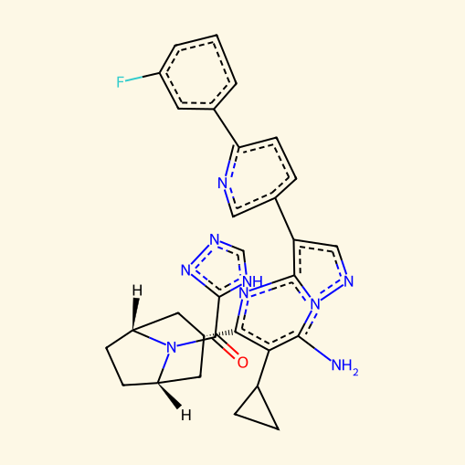 Nc1c(C2CC2)c([C@H]2C[C@H]3CC[C@@H](C2)N3C(=O)c2nnc[nH]2)nc2c(-c3ccc(-c4cccc(F)c4)nc3)cnn12